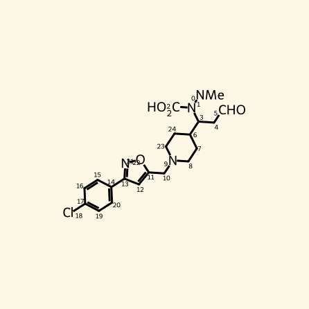 CNN(C(=O)O)C(CC=O)C1CCN(Cc2cc(-c3ccc(Cl)cc3)no2)CC1